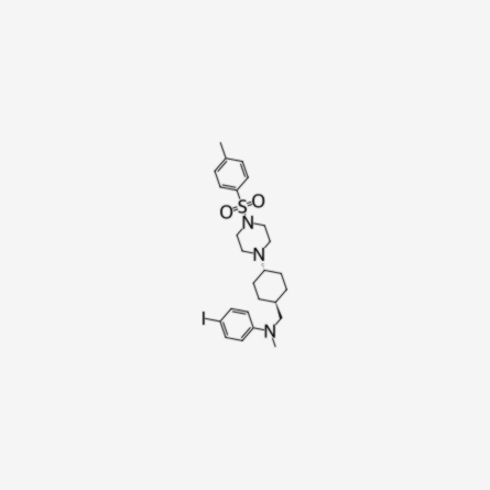 Cc1ccc(S(=O)(=O)N2CCN([C@H]3CC[C@H](CN(C)c4ccc(I)cc4)CC3)CC2)cc1